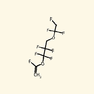 C=C(F)OC(F)(F)C(F)(F)COC(F)(F)CF